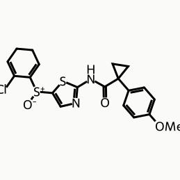 COc1ccc(C2(C(=O)Nc3ncc([S+]([O-])C4=CCCC=C4Cl)s3)CC2)cc1